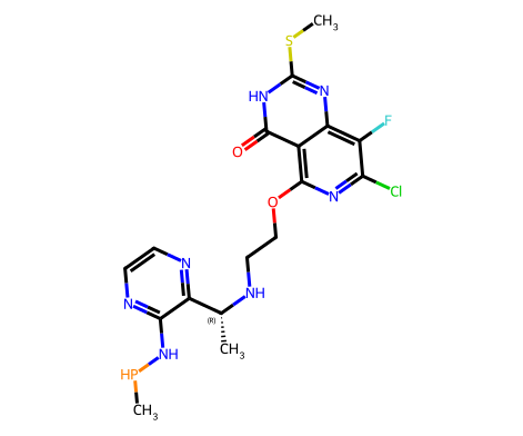 CPNc1nccnc1[C@@H](C)NCCOc1nc(Cl)c(F)c2nc(SC)[nH]c(=O)c12